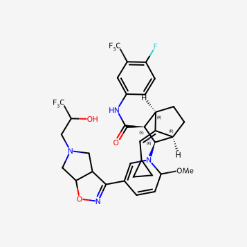 COC1C=CC(C2=NOC3CN(CC(O)C(F)(F)F)CC23)=CN1[C@H]1[C@@H](C(=O)Nc2ccc(F)c(C(F)(F)F)c2)[C@H]2CC[C@@H]1/C2=C\C1CC1